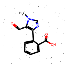 Cn1cnc(-c2ccccc2C(=O)O)c1C=O